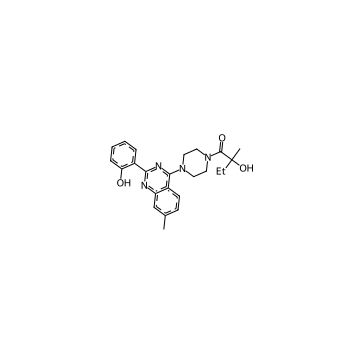 CCC(C)(O)C(=O)N1CCN(c2nc(-c3ccccc3O)nc3cc(C)ccc23)CC1